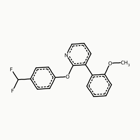 COc1ccccc1-c1cccnc1Oc1ccc(C(F)F)cc1